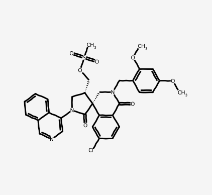 COc1ccc(CN2C[C@@]3(C(=O)N(c4cncc5ccccc45)C[C@@H]3COS(C)(=O)=O)c3cc(Cl)ccc3C2=O)c(OC)c1